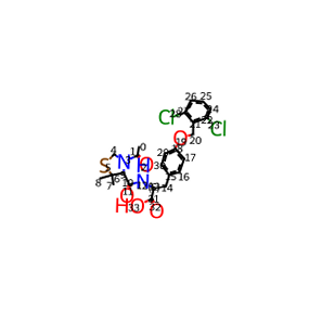 CC(=O)N1CSC(C)(C)C1C(=O)N[C@@H](Cc1ccc(OCc2c(Cl)cccc2Cl)cc1)C(=O)O